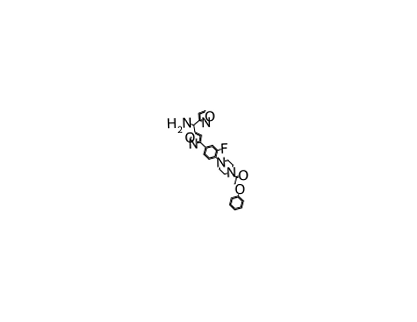 NC(c1ccon1)c1cc(-c2ccc(N3CCN(C(=O)COc4ccccc4)CC3)c(F)c2)no1